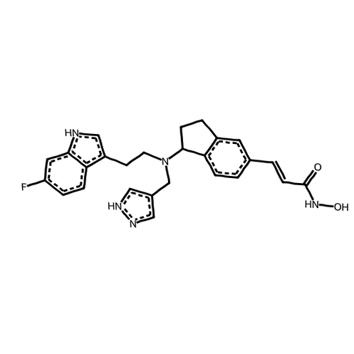 O=C(C=Cc1ccc2c(c1)CCC2N(CCc1c[nH]c2cc(F)ccc12)Cc1cn[nH]c1)NO